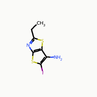 CCc1nc2sc(I)c(N)c2s1